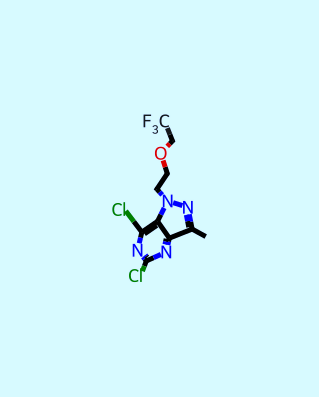 Cc1nn(CCOCC(F)(F)F)c2c(Cl)nc(Cl)nc12